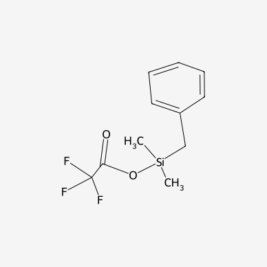 C[Si](C)(Cc1ccccc1)OC(=O)C(F)(F)F